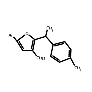 CC(=O)c1cc(C=O)c(C(C)c2ccc(C)cc2)o1